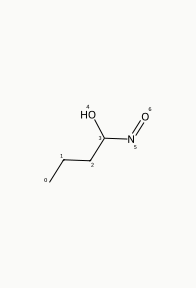 CCCC(O)N=O